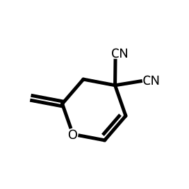 C=C1CC(C#N)(C#N)C=CO1